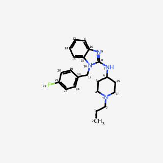 CCCN1CCC(Nc2nc3ccccc3n2Cc2ccc(F)cc2)CC1